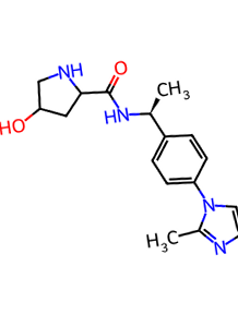 Cc1nccn1-c1ccc([C@H](C)NC(=O)C2CC(O)CN2)cc1